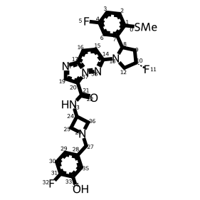 CSc1ccc(F)cc1C1C[C@H](F)CN1c1ccc2ncc(C(=O)NC3CN(Cc4ccc(F)c(O)c4)C3)n2n1